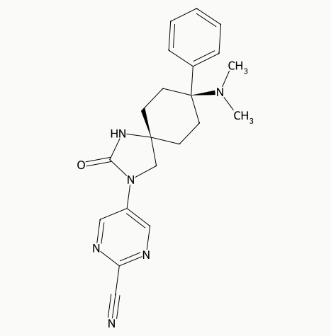 CN(C)[C@]1(c2ccccc2)CC[C@@]2(CC1)CN(c1cnc(C#N)nc1)C(=O)N2